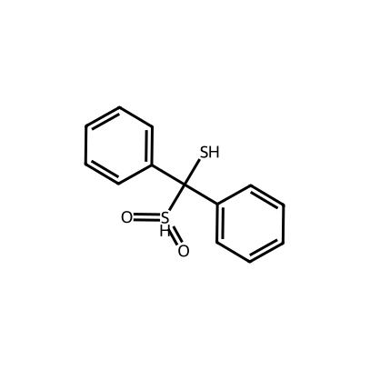 O=[SH](=O)C(S)(c1ccccc1)c1ccccc1